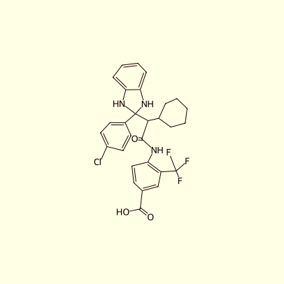 O=C(O)c1ccc(NC(=O)C(C2CCCCC2)C2(c3ccc(Cl)cc3)Nc3ccccc3N2)c(C(F)(F)F)c1